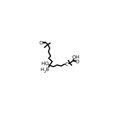 BC(O)(CCCCCC(C)(C)C=O)CCCCCC(C)(C)C(=O)O